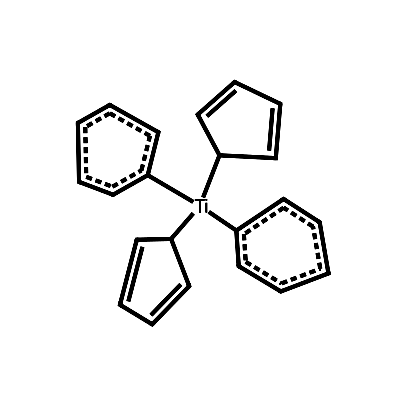 C1=C[CH]([Ti]([c]2ccccc2)([c]2ccccc2)[CH]2C=CC=C2)C=C1